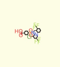 O=C(O)c1ccc(S(=O)(=O)N(Cc2ccccc2C(F)(F)F)c2ncc(C(F)(F)F)cc2Cl)cc1